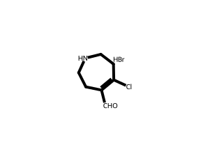 Br.O=CC1=C(Cl)CCNCC1